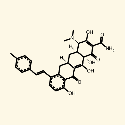 Cc1ccc(/C=C/c2ccc(O)c3c2C[C@H]2C[C@H]4[C@H](N(C)C)C(O)=C(C(N)=O)C(=O)[C@@]4(O)C(O)=C2C3=O)cc1